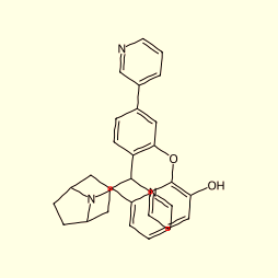 Oc1cccc2c1Oc1cc(-c3cccnc3)ccc1C2C1CC2CCC(C1)N2Cc1ccccn1